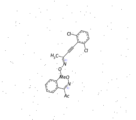 CO/N=C(/C(C)=O)c1ccccc1CO/N=C(\C)C#Cc1c(Cl)cccc1Cl